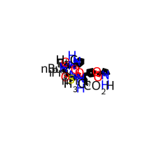 CCCCC(CC)N(C(=O)CNC(=O)[C@H]1CCCCN1C)[C@H](C[C@@H](OCCC)c1nc(C(=O)NC(Cc2ccc(OC(=O)[C@H]3CCCN3)cc2)C[C@H](C)C(=O)O)cs1)C(C)C